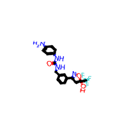 Nc1ccc(NC(=O)NCc2cccc(C3=NOC(O)(C(F)(F)F)C3)c2)cc1